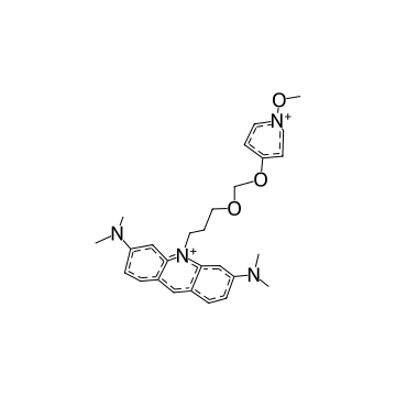 CO[n+]1ccc(OCOCCC[n+]2c3cc(N(C)C)ccc3cc3ccc(N(C)C)cc32)cc1